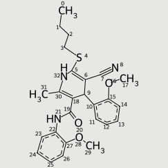 CCCCSC1=C(C#N)C(c2ccccc2OC)C(C(=O)Nc2ccccc2OC)=C(C)N1